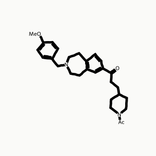 COc1ccc(CN2CCc3ccc(C(=O)CCC4CCN(C(C)=O)CC4)cc3CC2)cc1